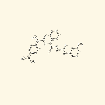 Cc1cccc(NC(=O)NCC(=O)N(CC(=O)N(C)c2ccc(N(C)C)cc2)c2ccccc2)c1